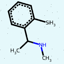 CNC(C)c1ccccc1[SiH3]